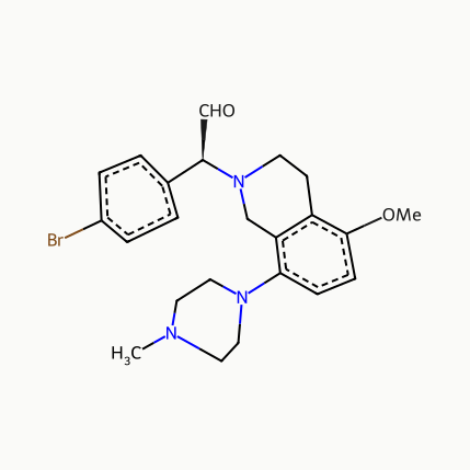 COc1ccc(N2CCN(C)CC2)c2c1CCN([C@H](C=O)c1ccc(Br)cc1)C2